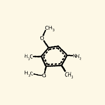 COc1cc(N)c(C)c(OC)c1C